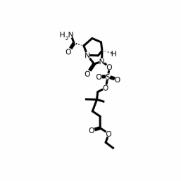 CCOC(=O)CCC(C)(C)COS(=O)(=O)ON1C(=O)N2C[C@H]1CC[C@H]2C(N)=O